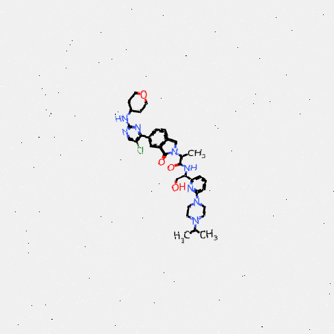 CC(C)N1CCN(c2cccc(C(CO)NC(=O)C(C)N3Cc4ccc(-c5nc(NC6CCOCC6)ncc5Cl)cc4C3=O)n2)CC1